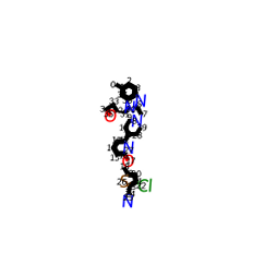 Cc1ccc2nc(CN3CCC(c4cccc(OCc5cc(Cl)c(C#N)s5)n4)CC3)n(C[C@@H]3CCO3)c2c1